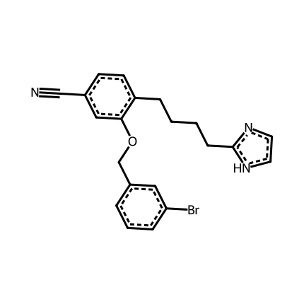 N#Cc1ccc(CCCCc2ncc[nH]2)c(OCc2cccc(Br)c2)c1